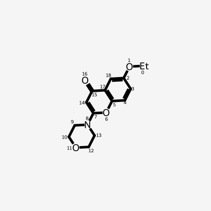 CCOc1ccc2oc(N3CCOCC3)cc(=O)c2c1